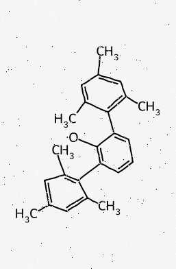 Cc1cc(C)c(-c2cccc(-c3c(C)cc(C)cc3C)c2[O])c(C)c1